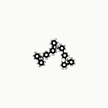 c1cc(-c2ccc(-n3c4ccccc4c4ccccc43)cc2)cc(-n2c3ccccc3c3cc(-c4ccc(-n5c6ccccc6c6ccccc65)cc4)ccc32)c1